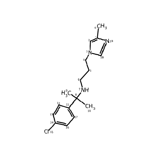 Cc1cn(CCCNC(C)(C)c2ccc(Cl)cc2)cn1